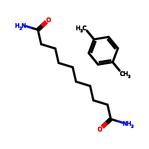 Cc1ccc(C)cc1.NC(=O)CCCCCCCCC(N)=O